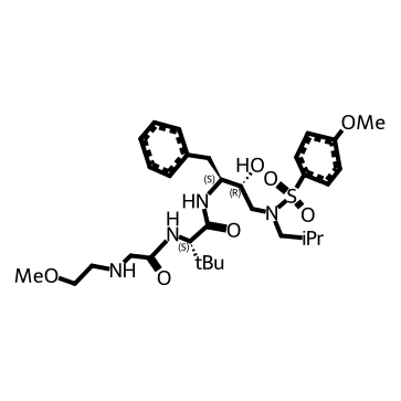 COCCNCC(=O)N[C@H](C(=O)N[C@@H](Cc1ccccc1)[C@H](O)CN(CC(C)C)S(=O)(=O)c1ccc(OC)cc1)C(C)(C)C